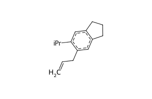 C=CCc1cc2c(cc1C(C)C)CCC2